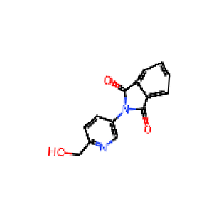 O=C1c2ccccc2C(=O)N1c1ccc(CO)nc1